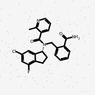 Cc1ncccc1C(=O)N(Cc1ccccc1C(N)=O)[C@@H]1CCc2c(F)cc(Cl)cc21